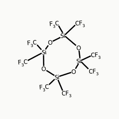 FC(F)(F)[Si]1(C(F)(F)F)O[Si](C(F)(F)F)(C(F)(F)F)O[Si](C(F)(F)F)(C(F)(F)F)O[Si](C(F)(F)F)(C(F)(F)F)O1